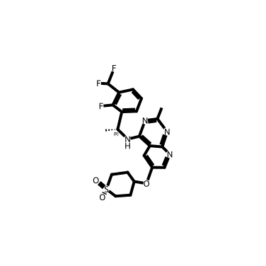 Cc1nc(N[C@H](C)c2cccc(C(F)F)c2F)c2cc(OC3CCS(=O)(=O)CC3)cnc2n1